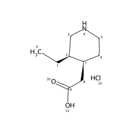 CC[C@H]1CNCC[C@H]1CC(=O)O.Cl